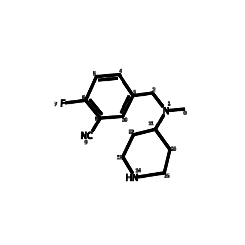 CN(Cc1ccc(F)c(C#N)c1)C1CCNCC1